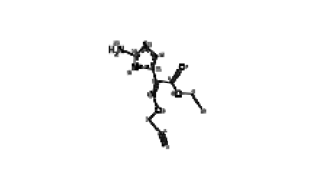 C#CCO/N=C(\C(=O)OCC)c1csc(N)n1